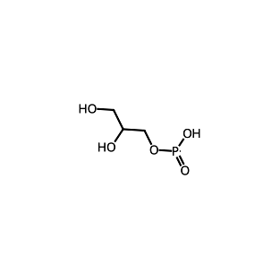 O=[P](O)OCC(O)CO